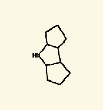 C1CC2NC3CCCC3C2C1